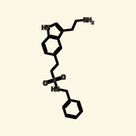 NCCc1c[nH]c2ccc(CCS(=O)(=O)NCc3ccccc3)cc12